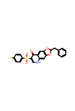 O=c1c(S(=O)(=O)c2ccc(F)cc2)c[nH]c2cc3c(cc12)OC(Cc1ccccc1)O3